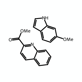 COC(=O)c1ccc2ccccc2n1.COc1ccc2cc[nH]c2c1